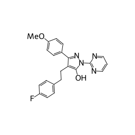 COc1ccc(-c2nn(-c3ncccn3)c(O)c2CCc2ccc(F)cc2)cc1